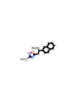 CNC(Cc1nc(C(=O)O)no1)c1ccc2ccccc2c1